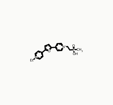 CC[n+]1ccc(-c2ccc(-c3cc[n+](CCP(C)(=O)O)cc3)o2)cc1